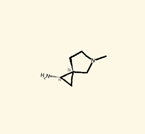 CN1CC[C@]2(C[C@@H]2N)C1